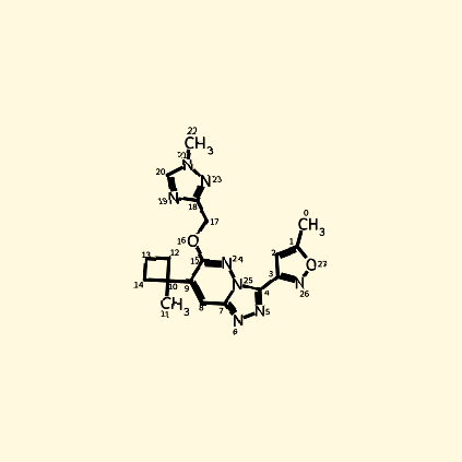 Cc1cc(-c2nnc3cc(C4(C)CCC4)c(OCc4ncn(C)n4)nn23)no1